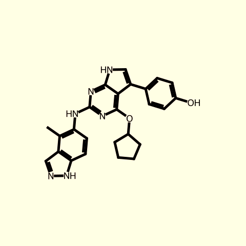 Cc1c(Nc2nc(OC3CCCC3)c3c(-c4ccc(O)cc4)c[nH]c3n2)ccc2[nH]ncc12